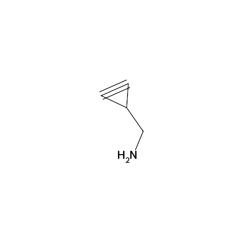 NCC1C#C1